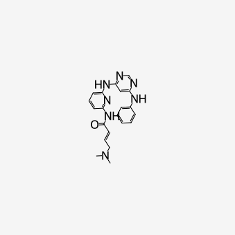 CN(C)CC=CC(=O)Nc1cccc(Nc2cc(Nc3ccccc3)ncn2)n1